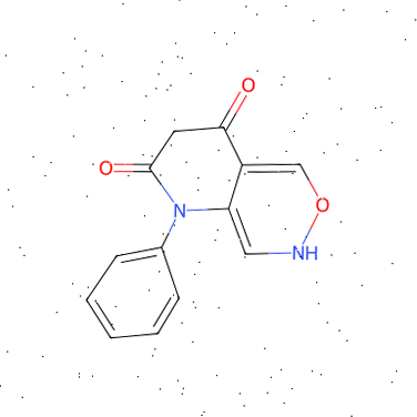 O=C1CC(=O)N(c2ccccc2)C2=CNOC=C12